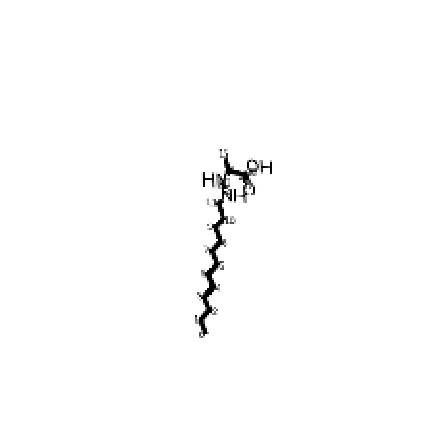 CCCCCCCCCCCCNNC(C)C(=O)O